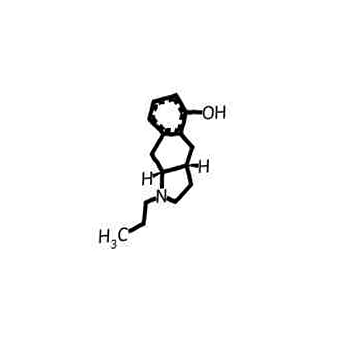 CCCN1CC[C@H]2Cc3c(O)cccc3C[C@H]21